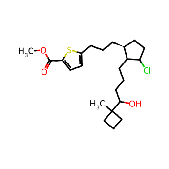 COC(=O)c1ccc(CCC[C@H]2CCC(Cl)C2CCCC(O)C2(C)CCC2)s1